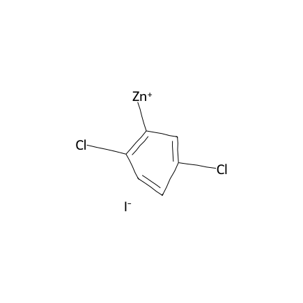 Clc1ccc(Cl)[c]([Zn+])c1.[I-]